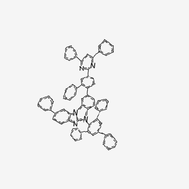 c1ccc(-c2cc(-c3ccccc3)c(-n3c4ccc(-c5ccc(-c6nc(-c7ccccc7)cc(-c7ccccc7)n6)cc5-c5ccccc5)cc4n4c5cc(-c6ccccc6)ccc5nc34)c(-c3ccccc3)c2)cc1